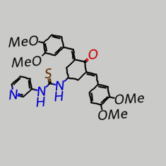 COc1ccc(/C=C2\CC(NC(=S)Nc3cccnc3)C/C(=C\c3ccc(OC)c(OC)c3)C2=O)cc1OC